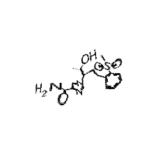 C[C@H](O)[C@@H](CCc1ccccc1S(C)(=O)=O)n1cnc(C(N)=O)c1